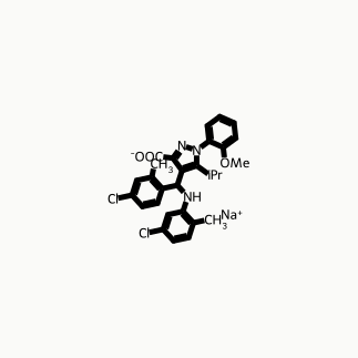 COc1ccccc1-n1nc(C(=O)[O-])c(C(Nc2cc(Cl)ccc2C)c2ccc(Cl)cc2C)c1C(C)C.[Na+]